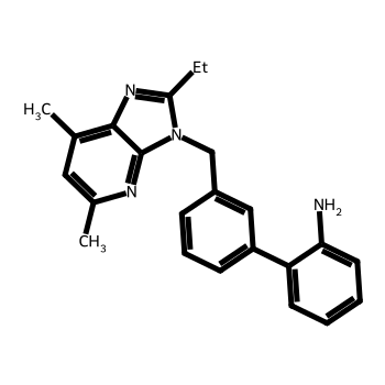 CCc1nc2c(C)cc(C)nc2n1Cc1cccc(-c2ccccc2N)c1